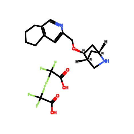 O=C(O)C(F)(F)F.O=C(O)C(F)(F)F.c1nc(CO[C@H]2C[C@H]3C[C@@H]2CN3)cc2c1CCCC2